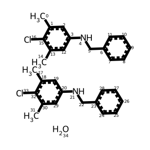 Cc1cc(NCc2ccccc2)cc(C)c1Cl.Cc1cc(NCc2ccccc2)cc(C)c1Cl.O